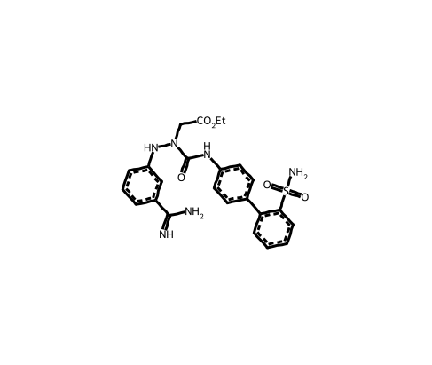 CCOC(=O)CN(Nc1cccc(C(=N)N)c1)C(=O)Nc1ccc(-c2ccccc2S(N)(=O)=O)cc1